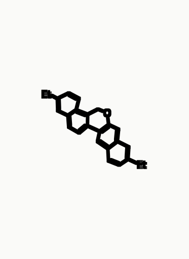 CCc1ccc2cc3c(cc2c1)OCc1c-3ccc2cc(CC)ccc12